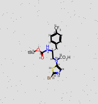 CC(C)(C)OC(=O)N[C@H](Cc1ccc(C(F)(F)F)cc1)CN(C(=O)O)c1cnc(Br)s1